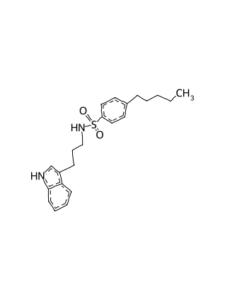 CCCCCc1ccc(S(=O)(=O)NCCCc2c[nH]c3ccccc23)cc1